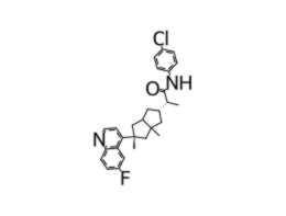 CC(C(=O)Nc1ccc(Cl)cc1)[C@H]1CC2C[C@@](C)(c3ccnc4ccc(F)cc34)CC2(C)C1